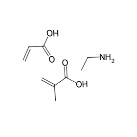 C=C(C)C(=O)O.C=CC(=O)O.CCN